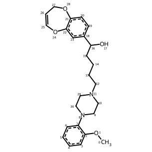 COc1ccccc1N1CCN(CCCCC(O)c2ccc3c(c2)OC=CCO3)CC1